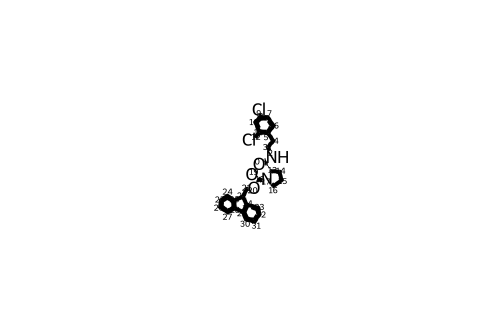 O=C(NCCc1ccc(Cl)cc1Cl)[C@@H]1CCCN1C(=O)OCC1c2ccccc2-c2ccccc21